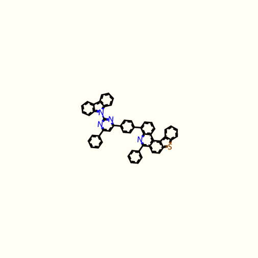 c1ccc(-c2cc(-c3ccc(-c4cccc5c4nc(-c4ccccc4)c4ccc6sc7ccccc7c6c45)cc3)nc(-n3c4ccccc4c4ccccc43)n2)cc1